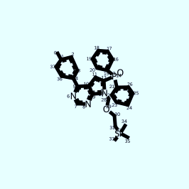 Cc1ccc(-c2ncnc3c2cc(P(=O)(c2ccccc2)c2ccccc2)n3COCC[Si](C)(C)C)cc1